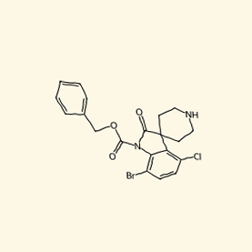 O=C(OCc1ccccc1)N1C(=O)C2(CCNCC2)c2c(Cl)ccc(Br)c21